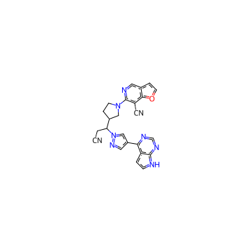 N#CCC(C1CCN(c2ncc3ccoc3c2C#N)C1)n1cc(-c2ncnc3[nH]ccc23)cn1